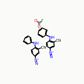 N#Cc1cc([N+]#N)ccc1Nc1ccccc1.N#Cc1cc([N+]#N)ccc1Nc1ccccc1.[O-]B([O-])F